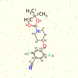 CC(C)(C)OC(=O)N1CCC(Oc2cc(F)c(C#N)cc2F)CC1